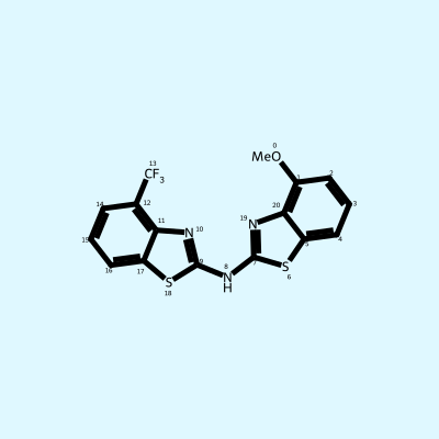 COc1cccc2sc(Nc3nc4c(C(F)(F)F)cccc4s3)nc12